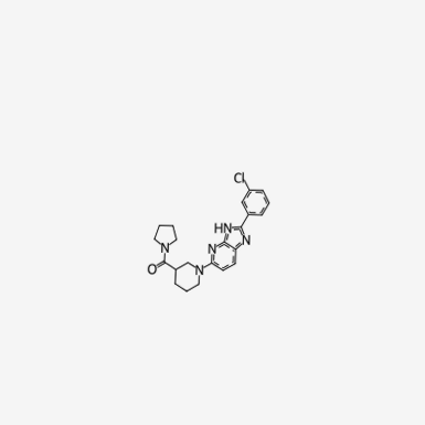 O=C(C1CCCN(c2ccc3nc(-c4cccc(Cl)c4)[nH]c3n2)C1)N1CCCC1